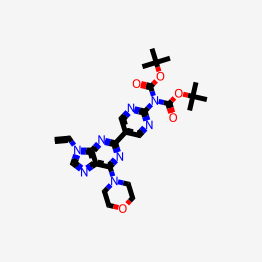 C=Cn1cnc2c(N3CCOCC3)nc(-c3cnc(N(C(=O)OC(C)(C)C)C(=O)OC(C)(C)C)nc3)nc21